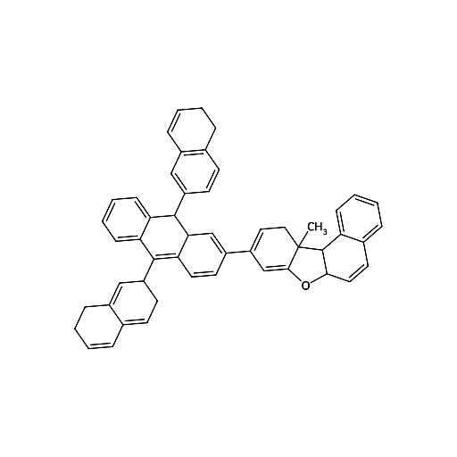 CC12CC=C(C3=CC4C(=C(C5C=C6CCC=CC6=CC5)c5ccccc5C4c4ccc5c(c4)C=CCC5)C=C3)C=C1OC1C=Cc3ccccc3C12